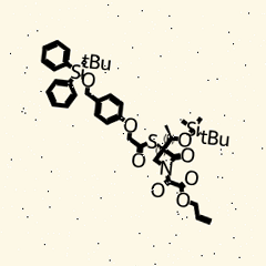 C=CCOC(=O)C(=O)N1C[C@](SC(=O)COc2ccc(CO[Si](c3ccccc3)(c3ccccc3)C(C)(C)C)cc2)([C@@H](C)O[Si](C)(C)C(C)(C)C)C1=O